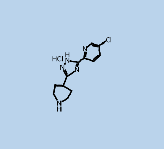 Cl.Clc1ccc(-c2nc(C3CCNCC3)n[nH]2)nc1